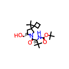 CC(C)(C)OC(=O)N[C@H](C(=O)N1CC2(C[C@H]1CO)C(C)(C)C21CCC1)C(C)(C)C